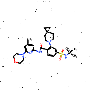 Cc1cc(NC(=O)c2ccc(S(=O)(=O)NC(C)(C)C)cc2N2CCC3(CC2)CC3)nc(N2CCOCC2)c1